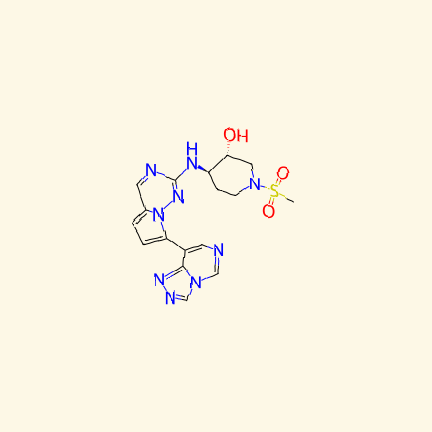 CS(=O)(=O)N1CC[C@@H](Nc2ncc3ccc(-c4cncn5cnnc45)n3n2)[C@H](O)C1